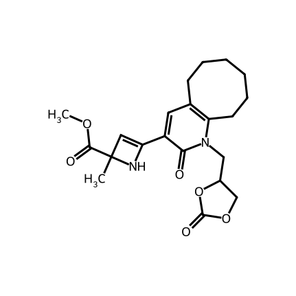 COC(=O)C1(C)C=C(c2cc3c(n(CC4COC(=O)O4)c2=O)CCCCCC3)N1